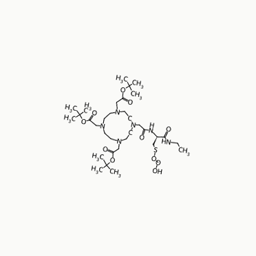 CCNC(=O)[C@@H](CSOOO)NC(=O)CN1CCN(CC(=O)OC(C)(C)C)CCN(CC(=O)OC(C)(C)C)CCN(CC(=O)OC(C)(C)C)CC1